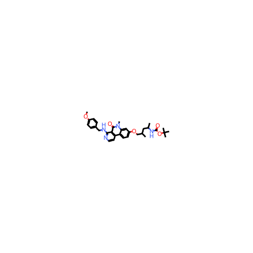 COc1ccc(CNc2nccc3c2c(=O)n(C)c2cc(OCC(C)CC(C)NC(=O)OC(C)(C)C)ccc32)cc1